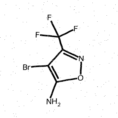 Nc1onc(C(F)(F)F)c1Br